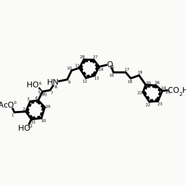 CC(=O)OCc1cc([C@@H](O)CNCCc2ccc(OCCCCc3cccc(C(=O)O)c3)cc2)ccc1O